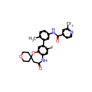 Cc1ccc(NC(=O)c2ccnc(C(F)(F)F)c2)cc1-c1cc2c(cc1F)NC(=O)CC1(CCOCC1)O2